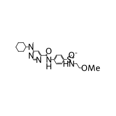 COCCN[S+]([O-])c1ccc(NC(=O)c2cc(N(C)C3CCCCC3)ncn2)cc1